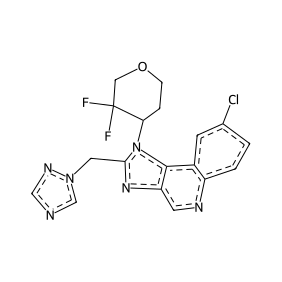 FC1(F)COCCC1n1c(Cn2cncn2)nc2cnc3ccc(Cl)cc3c21